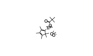 CC1=C(C)C(C)(C)[C]([Ti+2][O]C(=O)C(C)(C)C)=C1C.C[O-].C[O-]